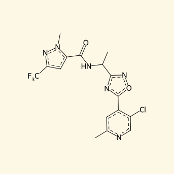 Cc1cc(-c2nc(C(C)NC(=O)c3cc(C(F)(F)F)nn3C)no2)c(Cl)cn1